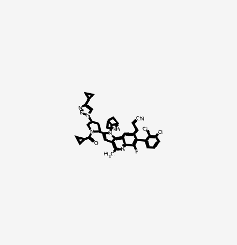 Cc1nc2c(F)c(-c3cccc(Cl)c3Cl)c(CCC#N)cc2c2c1cc(C1CC(n3cc(C4CC4)nn3)CN1C(=O)C1CC1)n2C1C2CNC1C2